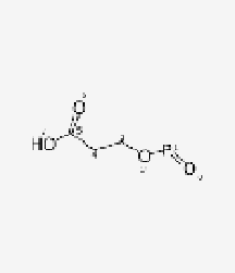 O=POCCC(=O)O